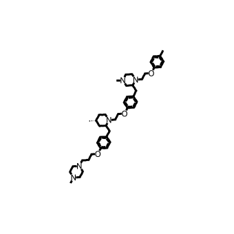 Cc1ccc(OCCN2CCN(C)CC2Cc2ccc(OCCN3CC[C@@H](C)CC3Cc3ccc(OCCCN4CCN(C)CC4)cc3)cc2)cc1